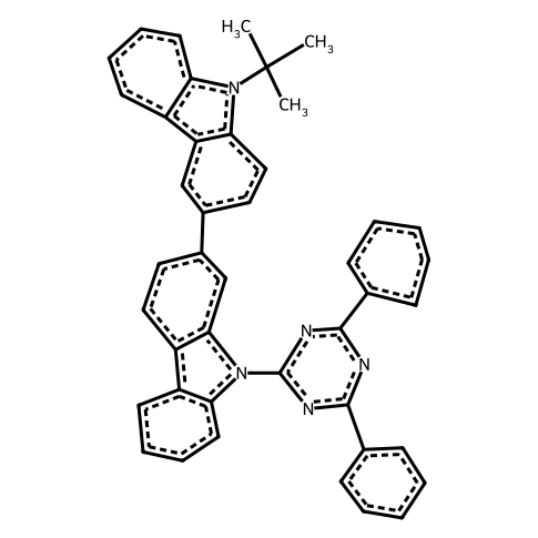 CC(C)(C)n1c2ccccc2c2cc(-c3ccc4c5ccccc5n(-c5nc(-c6ccccc6)nc(-c6ccccc6)n5)c4c3)ccc21